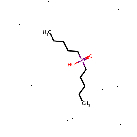 CCCCCP(=O)(O)CCCCC